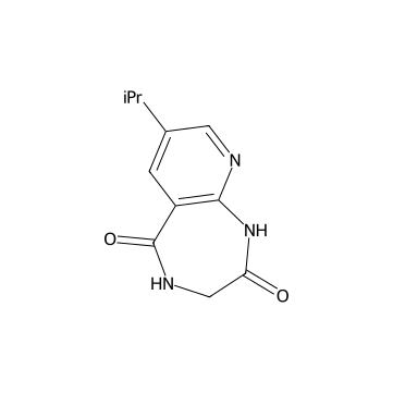 CC(C)c1cnc2c(c1)C(=O)NCC(=O)N2